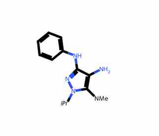 CNc1c(N)c(Nc2ccccc2)nn1C(C)C